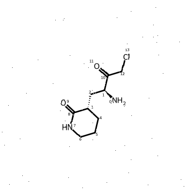 N[C@@H](C[C@@H]1CCCNC1=O)C(=O)CCl